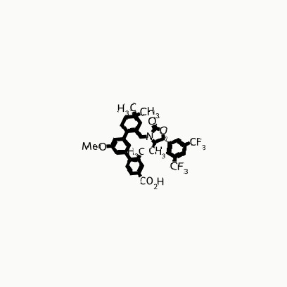 COc1cc(C2=C(CN3C(=O)O[C@H](c4cc(C(F)(F)F)cc(C(F)(F)F)c4)C3C)CC(C)(C)CC2)cc(-c2ccc(C(=O)O)cc2C)c1